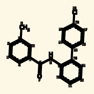 Cc1cccc(C(=O)Nc2ccccc2-c2ccc(Cl)cc2)c1